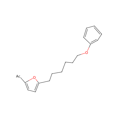 CC(=O)c1ccc(CCCCCCOc2ccccc2)o1